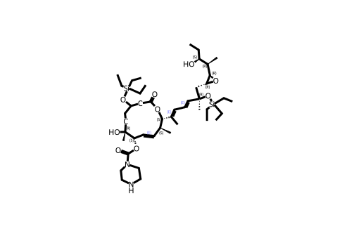 CC[C@H](O)[C@@H](C)[C@H]1O[C@@H]1C[C@](C)(/C=C/C=C(\C)[C@H]1OC(=O)CC(O[Si](CC)(CC)CC)CC[C@@](C)(O)[C@@H](OC(=O)N2CCNCC2)/C=C/[C@@H]1C)O[Si](CC)(CC)CC